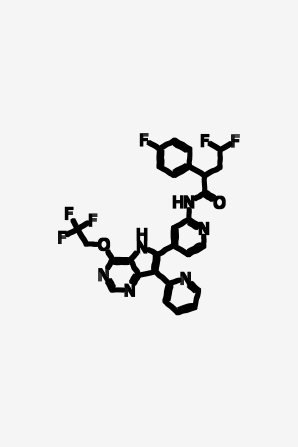 O=C(Nc1cc(-c2[nH]c3c(OCC(F)(F)F)ncnc3c2-c2ccccn2)ccn1)C(CC(F)F)c1ccc(F)cc1